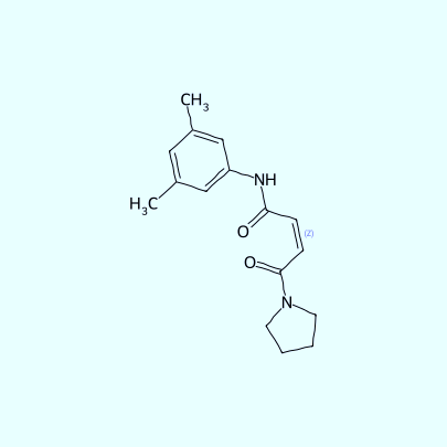 Cc1cc(C)cc(NC(=O)/C=C\C(=O)N2CCCC2)c1